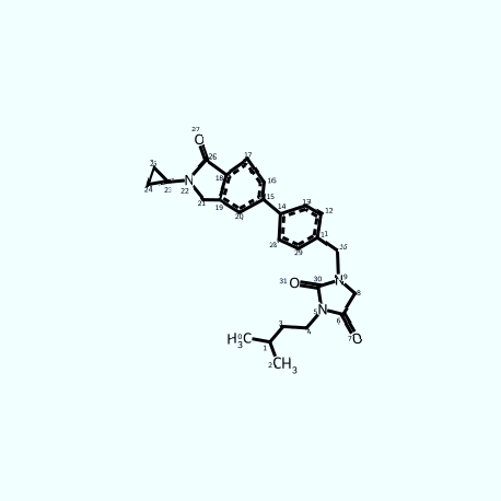 CC(C)CCN1C(=O)CN(Cc2ccc(-c3ccc4c(c3)CN(C3CC3)C4=O)cc2)C1=O